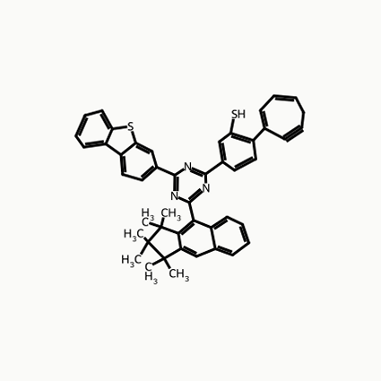 CC1(C)c2cc3ccccc3c(-c3nc(-c4ccc(C5=CC=CCC#C5)c(S)c4)nc(-c4ccc5c(c4)sc4ccccc45)n3)c2C(C)(C)C1(C)C